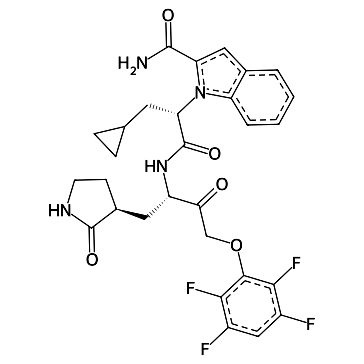 NC(=O)c1cc2ccccc2n1[C@@H](CC1CC1)C(=O)N[C@@H](C[C@@H]1CCNC1=O)C(=O)COc1c(F)c(F)cc(F)c1F